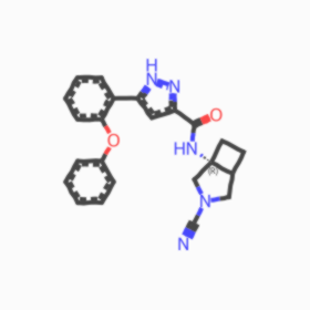 N#CN1CC2CC[C@]2(NC(=O)c2cc(-c3ccccc3Oc3ccccc3)[nH]n2)C1